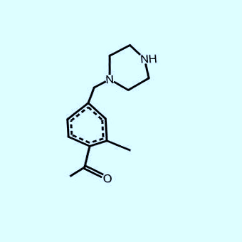 CC(=O)c1ccc(CN2CCNCC2)cc1C